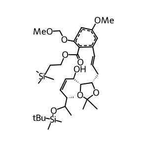 COCOc1cc(OC)cc(/C=C/C[C@@H]2OC(C)(C)O[C@@H]2C(O)/C=C\[C@H](C)C(C)O[Si](C)(C)C(C)(C)C)c1C(=O)OCC[Si](C)(C)C